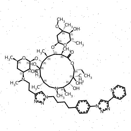 CC[C@H]1OC(=O)[C@H](C)[C@@H](O[C@H]2C[C@@](C)(OC)[C@@H](O)[C@H](C)O2)[C@H](C)[C@@H](O[C@@H]2O[C@H](C)C[C@H](N(C)CCc3cn(CCCCc4ccc(-n5cc(-c6ccccn6)nn5)cc4)nn3)[C@H]2O)[C@](C)(O)C[C@@H](C)CN(C)[C@H](C)[C@@H](O)[C@]1(C)O